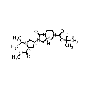 COC(=O)[C@@H]1C[C@H](N2C[C@@H]3CN(C(=O)OC(C)(C)C)CCN3C2=O)CN1C(C)C